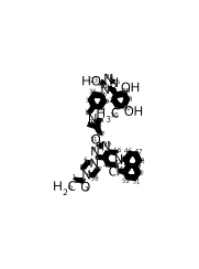 C=CC(=O)N1CCN(c2nc(OCC3CN(Cc4ccc(-n5c(O)nnc5-c5cc(C)c(O)cc5O)cc4)C3)nc3c2CCN(c2cccc4cccc(Cl)c24)C3)CC1